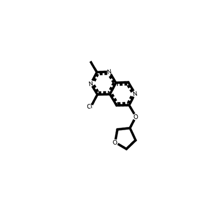 Cc1nc(Cl)c2cc(OC3CCOC3)ncc2n1